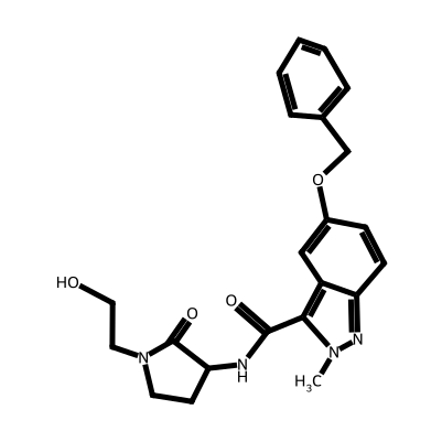 Cn1nc2ccc(OCc3ccccc3)cc2c1C(=O)NC1CCN(CCO)C1=O